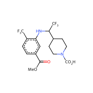 COC(=O)c1ccc(C(F)(F)F)c(NC(C2CCN(C(=O)O)CC2)C(F)(F)F)c1